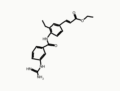 CCOC(=O)C=Cc1ccc(NC(=O)c2cccc(NC(=N)N)c2)c(CC)c1